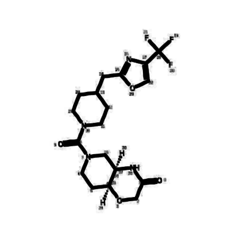 O=C1CO[C@H]2CCN(C(=O)N3CCC(Cc4nc(C(F)(F)F)co4)CC3)C[C@H]2N1